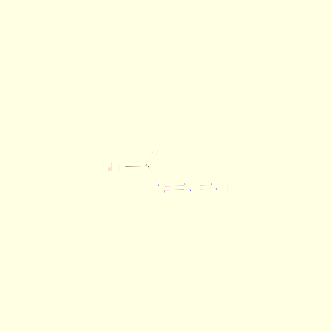 CCCC(=O)N=[N+]=N